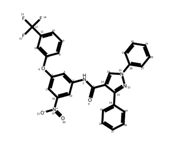 O=C(Nc1cc(Oc2cccc(C(F)(F)F)c2)cc([N+](=O)[O-])c1)c1cn(-c2ccccc2)nc1-c1ccccc1